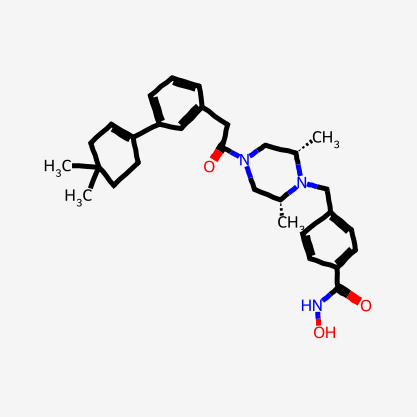 C[C@@H]1CN(C(=O)Cc2cccc(C3=CCC(C)(C)CC3)c2)C[C@H](C)N1Cc1ccc(C(=O)NO)cc1